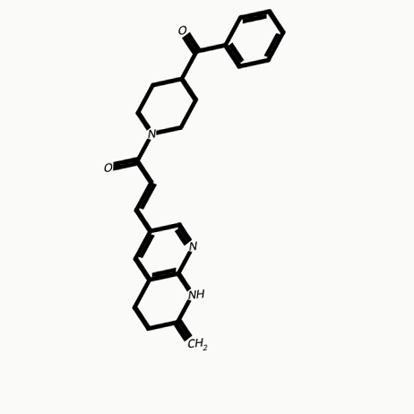 C=C1CCc2cc(/C=C/C(=O)N3CCC(C(=O)c4ccccc4)CC3)cnc2N1